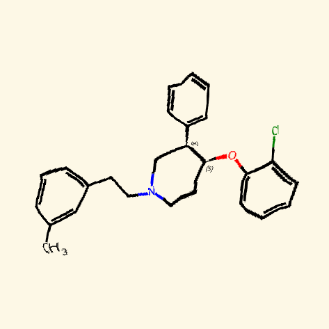 Cc1cccc(CCN2CC[C@H](Oc3ccccc3Cl)[C@H](c3ccccc3)C2)c1